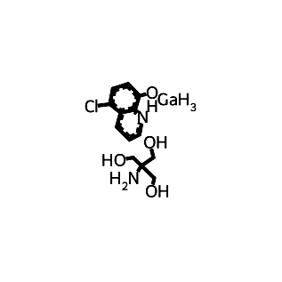 NC(CO)(CO)CO.Oc1ccc(Cl)c2cccnc12.[GaH3]